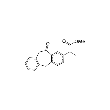 COC(=O)C(C)c1ccc2c(c1)C(=O)Cc1ccccc1C2